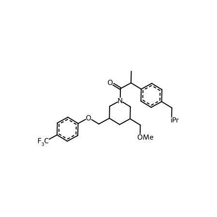 COCC1CC(COc2ccc(C(F)(F)F)cc2)CN(C(=O)C(C)c2ccc(CC(C)C)cc2)C1